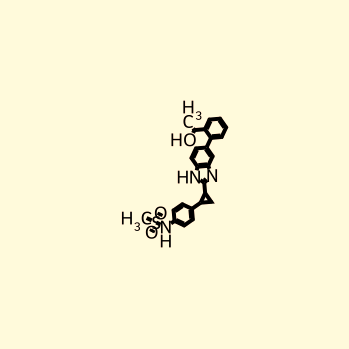 CC(O)c1ccccc1-c1ccc2[nH]c(C3CC3c3ccc(NS(C)(=O)=O)cc3)nc2c1